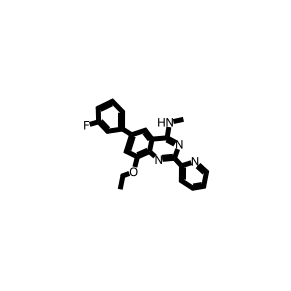 CCOc1cc(-c2cccc(F)c2)cc2c(NC)nc(-c3ccccn3)nc12